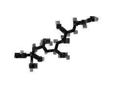 COP(=O)(O)OC(C)CC(C)CNC(=O)CN=[N+]=[N-]